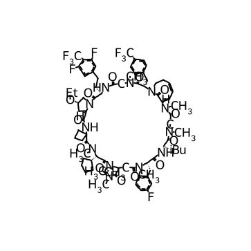 CCO[C@@H]1C[C@H]2C(=O)NC3(CCC3)C(=O)N(C)[C@@H](C3CCCC3)C(=O)N(C)[C@H](C(=O)N(C)C)CC(=O)N(C)[C@@H](Cc3cccc(F)c3)C(=O)N[C@@H]([C@@H](C)CC)C(=O)N(C)CC(=O)N(C)[C@H]3C/C=C\CCN(C3=O)[C@@H](Cc3ccc(C(F)(F)F)cc3)C(=O)N(C)CC(=O)N[C@@H](CCc3cc(F)c(C(F)(F)F)c(F)c3)C(=O)N2C1